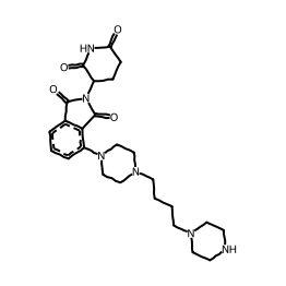 O=C1CCC(N2C(=O)c3cccc(N4CCN(CCCCN5CCNCC5)CC4)c3C2=O)C(=O)N1